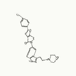 O=c1c2cc(-c3ccc(Cl)cc3)oc2ccn1-c1ccc2[nH]nc(CCN3CCOCC3)c2c1